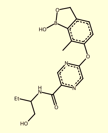 CCC(CO)NC(=O)c1cnc(Oc2ccc3c(c2C)B(O)OC3)cn1